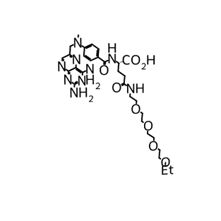 CCOCCOCCOCCOCCNC(=O)CC[C@H](NC(=O)c1ccc(N(C)Cc2cnc3nc(N)nc(N)c3n2)cc1)C(=O)O